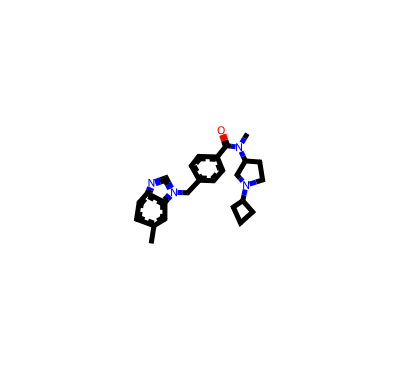 Cc1ccc2ncn(Cc3ccc(C(=O)N(C)C4CCN(C5CCC5)C4)cc3)c2c1